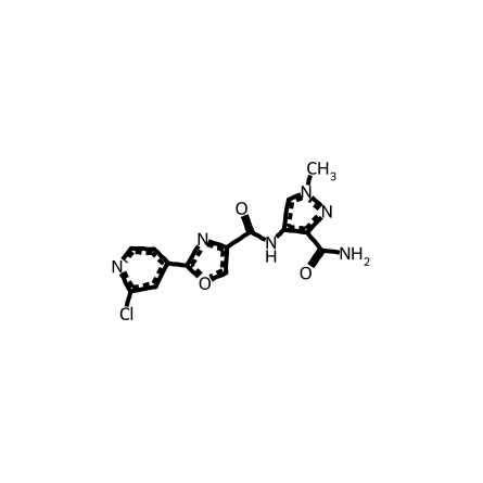 Cn1cc(NC(=O)c2coc(-c3ccnc(Cl)c3)n2)c(C(N)=O)n1